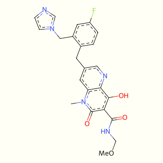 COCNC(=O)c1c(O)c2ncc(Cc3ccc(F)cc3Cn3ccnc3)cc2n(C)c1=O